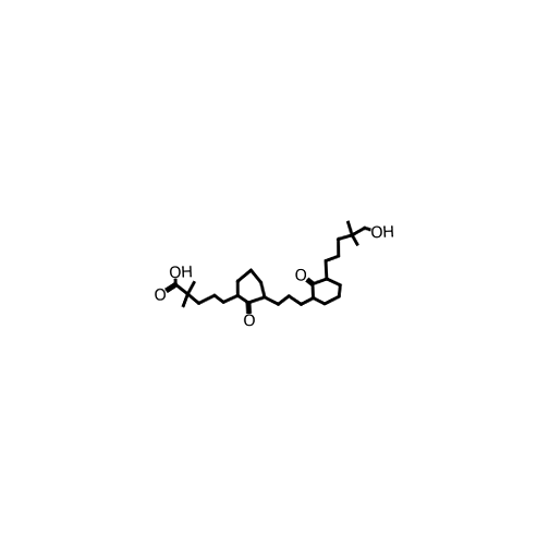 CC(C)(CO)CCCC1CCCC(CCCC2CCCC(CCCC(C)(C)C(=O)O)C2=O)C1=O